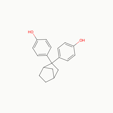 Oc1ccc(C2(c3ccc(O)cc3)CC3CCC2C3)cc1